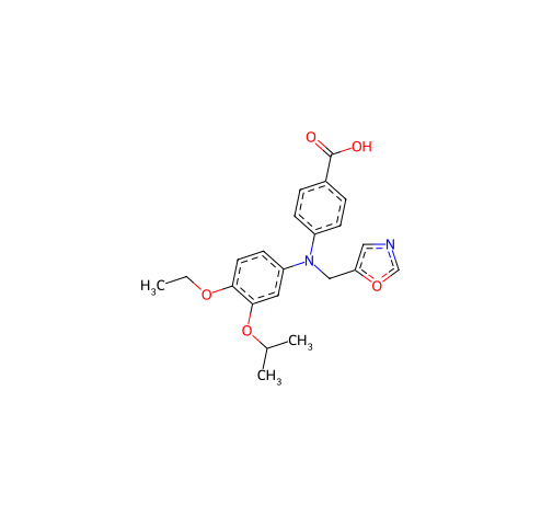 CCOc1ccc(N(Cc2cnco2)c2ccc(C(=O)O)cc2)cc1OC(C)C